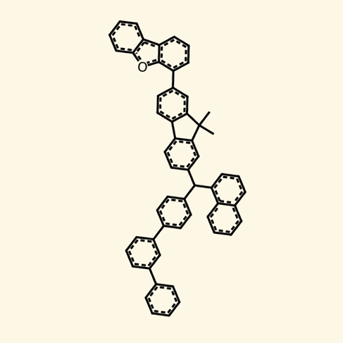 CC1(C)c2cc(-c3cccc4c3oc3ccccc34)ccc2-c2ccc(C(c3ccc(-c4cccc(-c5ccccc5)c4)cc3)c3cccc4ccccc34)cc21